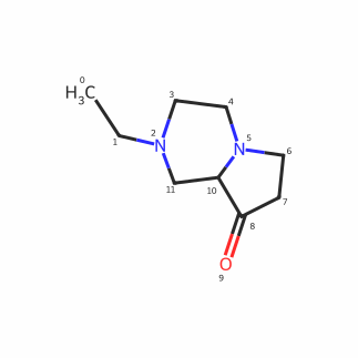 CCN1CCN2CCC(=O)C2C1